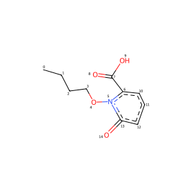 CCCCOn1c(C(=O)O)cccc1=O